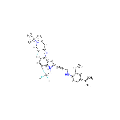 C=C(C)c1ccc(NCC#Cc2cc3c(NC4CCN(C(C)(C)C)CC4F)cccc3n2CC(F)(F)F)c(CC)c1